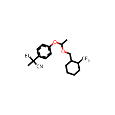 CCC(C)(C#N)c1ccc(OC(C)OCC2CCCCC2C(F)(F)F)cc1